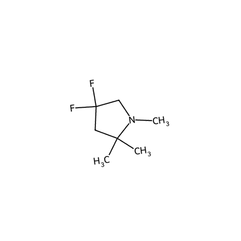 CN1CC(F)(F)CC1(C)C